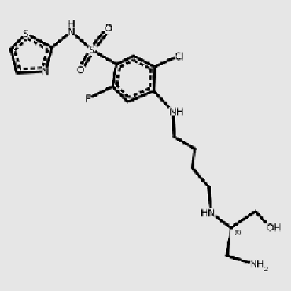 NC[C@H](CO)NCCCCNc1cc(F)c(S(=O)(=O)Nc2nccs2)cc1Cl